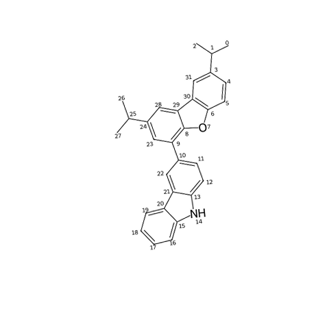 CC(C)c1ccc2oc3c(-c4ccc5[nH]c6ccccc6c5c4)cc(C(C)C)cc3c2c1